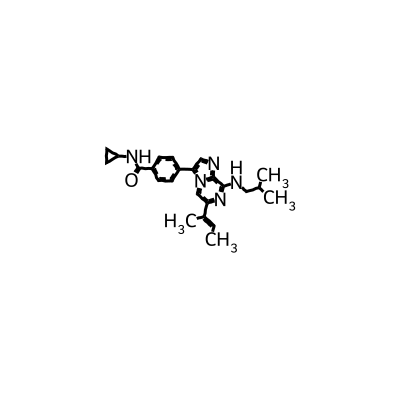 CC=C(C)c1cn2c(-c3ccc(C(=O)NC4CC4)cc3)cnc2c(NCC(C)C)n1